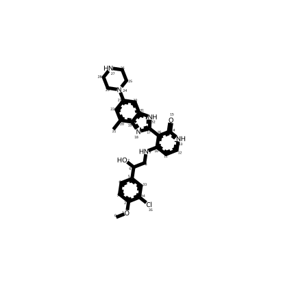 COc1ccc(C(O)CNc2cc[nH]c(=O)c2-c2nc3c(C)cc(N4CCNCC4)cc3[nH]2)cc1Cl